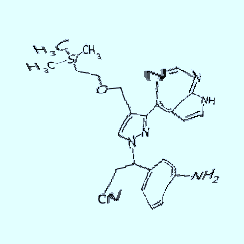 C[Si](C)(C)CCOCc1cn(C(CC#N)c2cccc(N)c2)nc1-c1ncnc2[nH]ccc12